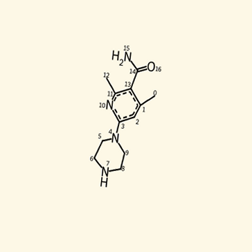 Cc1cc(N2CCNCC2)nc(C)c1C(N)=O